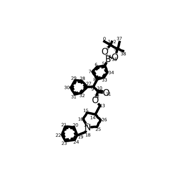 CC1(C)OB(c2ccc(C(C(=O)OCC3CCN(Cc4ccccc4)CC3)c3ccccc3)cc2)OC1(C)C